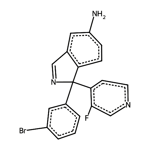 Nc1ccc2c(c1)C=NC2(c1cccc(Br)c1)c1ccncc1F